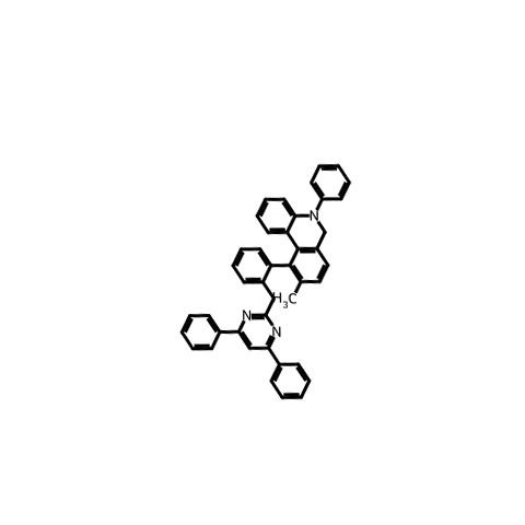 Cc1ccc2c(c1-c1ccccc1Cc1nc(-c3ccccc3)cc(-c3ccccc3)n1)-c1ccccc1N(c1ccccc1)C2